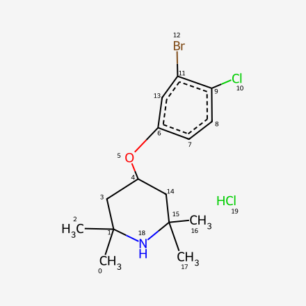 CC1(C)CC(Oc2ccc(Cl)c(Br)c2)CC(C)(C)N1.Cl